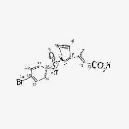 O=C(O)C=Cc1ccn(S(=O)(=O)c2ccc(Br)cc2)c1